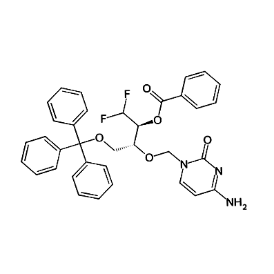 Nc1ccn(CO[C@H](COC(c2ccccc2)(c2ccccc2)c2ccccc2)[C@H](OC(=O)c2ccccc2)C(F)F)c(=O)n1